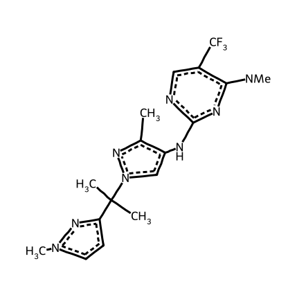 CNc1nc(Nc2cn(C(C)(C)c3ccn(C)n3)nc2C)ncc1C(F)(F)F